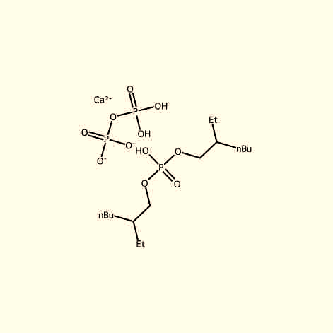 CCCCC(CC)COP(=O)(O)OCC(CC)CCCC.O=P([O-])([O-])OP(=O)(O)O.[Ca+2]